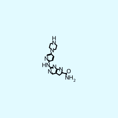 NC(=O)C1=Nc2nc(Nc3ccc(N4CCNCC4)cn3)ncc2C1